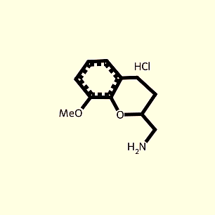 COc1cccc2c1OC(CN)CC2.Cl